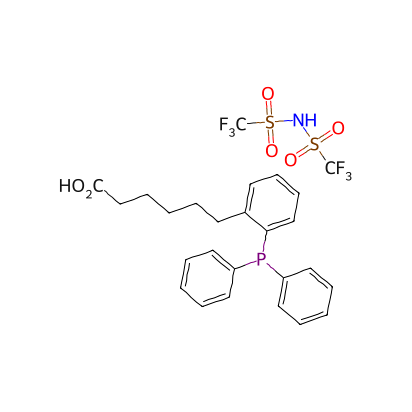 O=C(O)CCCCCc1ccccc1P(c1ccccc1)c1ccccc1.O=S(=O)(NS(=O)(=O)C(F)(F)F)C(F)(F)F